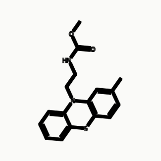 COC(=O)NCCN1c2ccccc2Sc2ccc(C)cc21